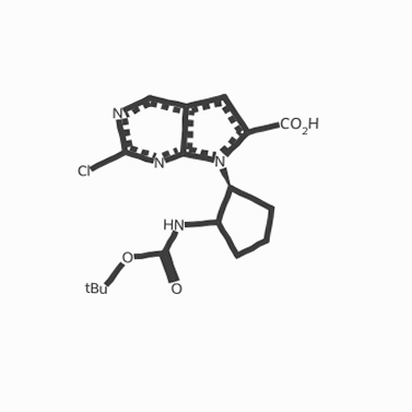 CC(C)(C)OC(=O)NC1CCC[C@@H]1n1c(C(=O)O)cc2cnc(Cl)nc21